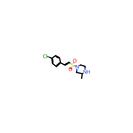 CC1CN(S(=O)(=O)C=Cc2ccc(Cl)cc2)CCN1